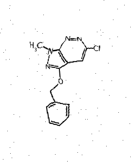 Cn1nc(OCc2ccccc2)c2cc(Cl)nnc21